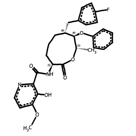 COc1ccnc(C(=O)N[C@H]2CCC[C@H](Cc3ccc(F)cc3)[C@@H](Oc3ccccc3)[C@H](C)OC2=O)c1O